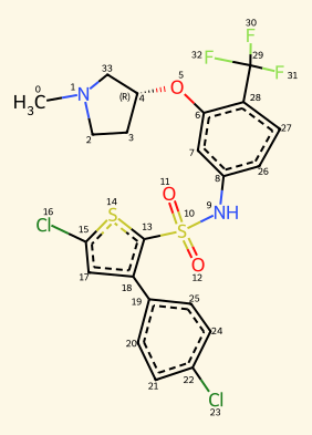 CN1CC[C@@H](Oc2cc(NS(=O)(=O)c3sc(Cl)cc3-c3ccc(Cl)cc3)ccc2C(F)(F)F)C1